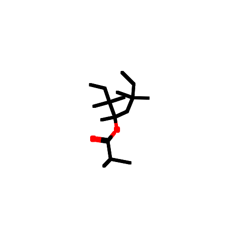 CCC(C)(C)CC(C)(OC(=O)C(C)C)C(C)(C)CC